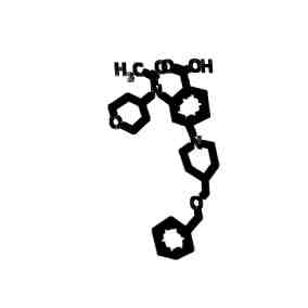 CC(=O)N(c1cc(N2CCC(COCc3ccccc3)CC2)ccc1C(=O)O)C1CCOCC1